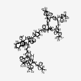 COc1c(C[C@@H](NC(=O)c2ccc(CNC(=O)CN3CCN(CC(=O)OC(C)(C)C)CCN(CC(=O)OC(C)(C)C)CCN(CC(=O)OC(C)(C)C)CC3)cn2)C(=O)NCCCC[C@H](NC(=O)N[C@@H](CCC(=O)OC(C)(C)C)C(=O)OC(C)(C)C)C(=O)OC(C)(C)C)ccc2ccccc12